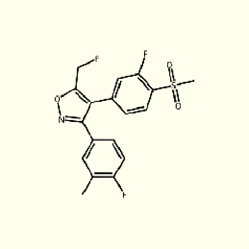 Cc1cc(-c2noc(CF)c2-c2ccc(S(C)(=O)=O)c(F)c2)ccc1F